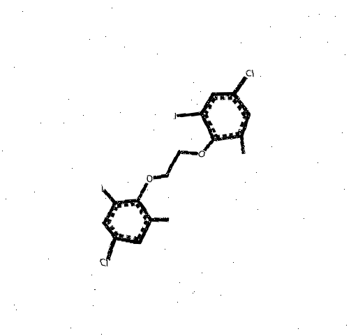 Cc1cc(Cl)cc(I)c1OCCOc1c(C)cc(Cl)cc1I